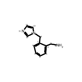 NCc1ccccc1Cn1[c]ncc1